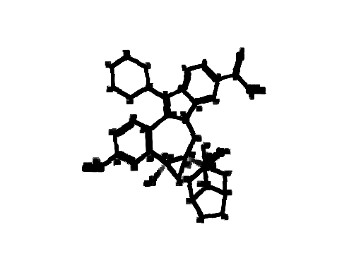 COC(=O)c1ccc2c(C3CCCCC3)c3n(c2c1)C[C@@]1(C(=O)N2C4CCC2CN(C)C4)C[C@H]1c1cc(OC)ccc1-3